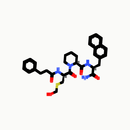 NC(=O)[C@H](Cc1ccc2ccccc2c1)NC(=O)[C@@H]1CCCCN1C(=O)[C@H](CSCO)NC(=O)CCc1ccccc1